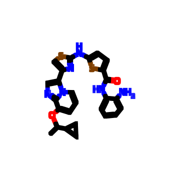 CC(Oc1cccn2c(-c3csc(Nc4ccc(C(=O)Nc5ccccc5N)s4)n3)cnc12)C1CC1